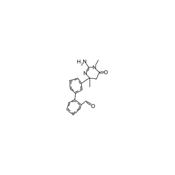 CN1C(=O)CC(C)(c2cccc(-c3ccccc3C=O)c2)N=C1N